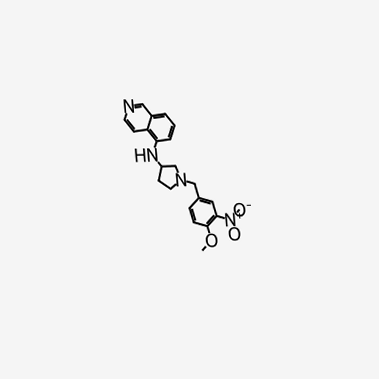 COc1ccc(CN2CCC(Nc3cccc4cnccc34)C2)cc1[N+](=O)[O-]